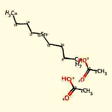 CC(=O)O.CC(=O)O.CCC[CH2][Sn][CH2]CCC